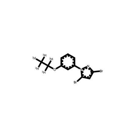 [2H]C([2H])([2H])C([2H])([2H])Oc1cccc(-n2nc(Br)cc2Br)c1